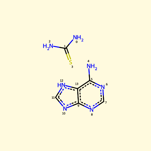 NC(N)=S.Nc1ncnc2nc[nH]c12